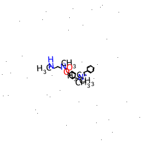 CNCCCN(C)C(=O)Oc1ccc(C(C)[N+](C)(C)CCc2ccccc2)cc1